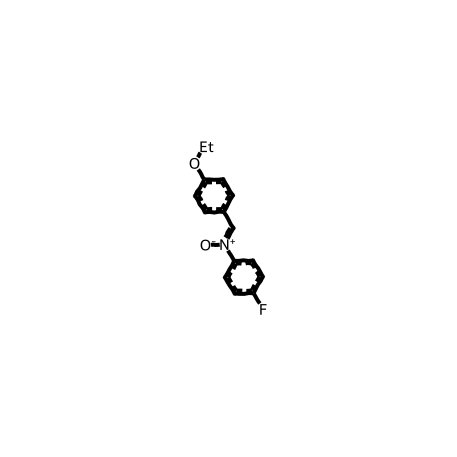 CCOc1ccc(C=[N+]([O-])c2ccc(F)cc2)cc1